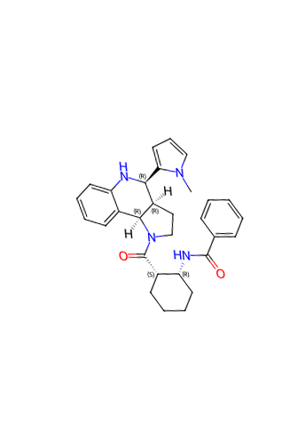 Cn1cccc1[C@@H]1Nc2ccccc2[C@H]2[C@@H]1CCN2C(=O)[C@H]1CCCC[C@H]1NC(=O)c1ccccc1